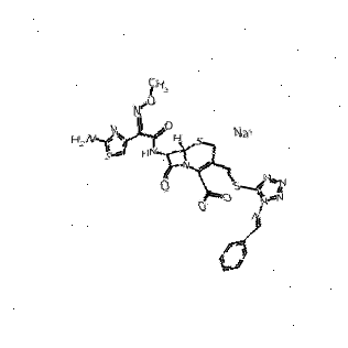 CO/N=C(\C(=O)N[C@@H]1C(=O)N2C(C(=O)[O-])=C(CSc3nnnn3N=Cc3ccccc3)CS[C@@H]12)c1csc(N)n1.[Na+]